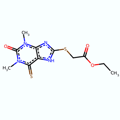 CCOC(=O)CSc1nc2c([nH]1)c(=S)n(C)c(=O)n2C